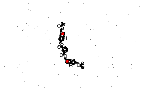 C=CC(=O)OCC1CC2C3CC(CC3COC(=O)c3cccc(C(=O)OCC4CC5C6CC(CC6COC(=O)C(=C)C)[C@H]5C4)c3)[C@H]2C1